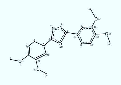 COC1=CCC(c2nnc(-c3ccc(OC)c(OC)c3)o2)C=C1OC